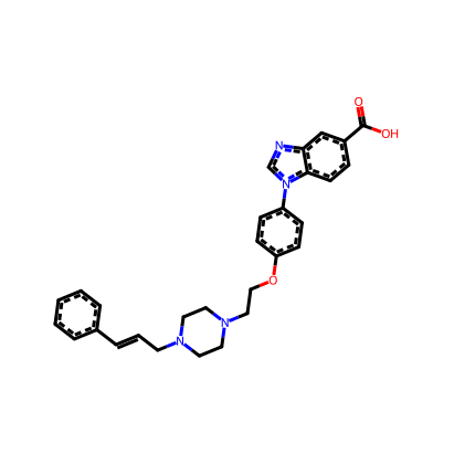 O=C(O)c1ccc2c(c1)ncn2-c1ccc(OCCN2CCN(CC=Cc3ccccc3)CC2)cc1